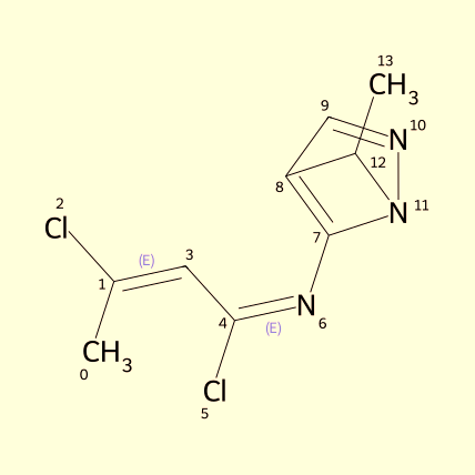 C/C(Cl)=C\C(Cl)=N/c1c2cnn1C2C